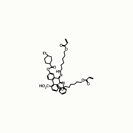 C=CC(=O)OCCCCCCNN=C(c1nc2ccccc2s1)c1cc(OC(=O)C2CCC(CC)CC2)ccc1-c1cc(OCCCCCCOC(=O)C=C)ccc1C(=O)O